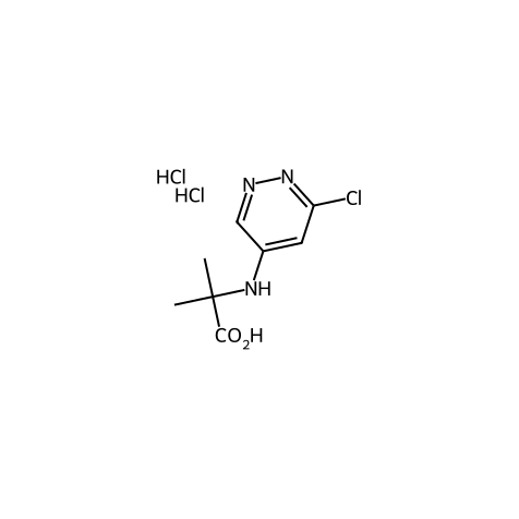 CC(C)(Nc1cnnc(Cl)c1)C(=O)O.Cl.Cl